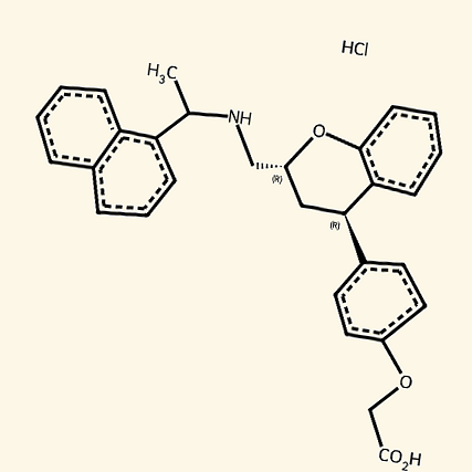 CC(NC[C@H]1C[C@H](c2ccc(OCC(=O)O)cc2)c2ccccc2O1)c1cccc2ccccc12.Cl